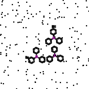 [KH].[Ru].c1ccc(P(c2ccccc2)c2ccccc2)cc1.c1ccc(P(c2ccccc2)c2ccccc2)cc1.c1ccc(P(c2ccccc2)c2ccccc2)cc1